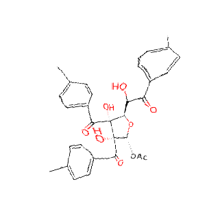 CC(=O)O[C@H]1O[C@H](C(O)C(=O)c2ccc(C)cc2)[C@](O)(C(=O)c2ccc(C)cc2)[C@]1(O)C(=O)c1ccc(C)cc1